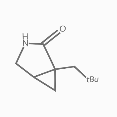 CC(C)(C)CC12CC1CNC2=O